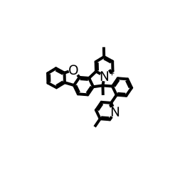 Cc1ccc(-c2ccccc2C2(C)c3ccc4c(oc5ccccc54)c3-c3cc(C)cc[n+]32)nc1